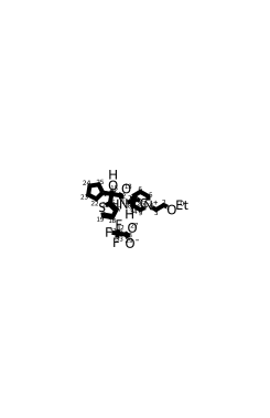 CCOCC[N+]12CCC(CC1)[C@@H](NC(=O)C(O)(c1cccs1)C1CCCC1)C2.O=C([O-])C(F)(F)F